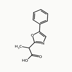 CC(C(=O)O)c1ncc(-c2ccccc2)o1